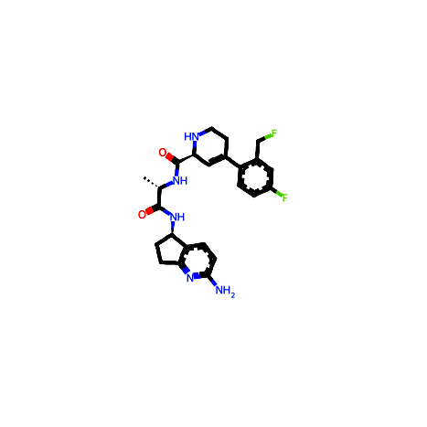 C[C@H](NC(=O)[C@@H]1C=C(c2ccc(F)cc2CF)CCN1)C(=O)N[C@@H]1CCc2nc(N)ccc21